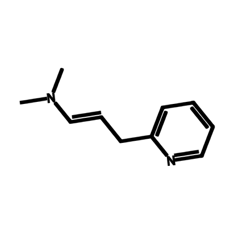 CN(C)C=CCc1ccccn1